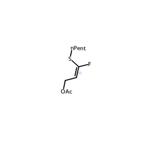 CCCCCS/C(F)=C\COC(C)=O